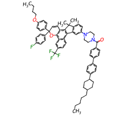 CCCCCC1CCC(c2ccc(-c3ccc(C(=O)N4CCN(c5ccc6c(c5)-c5c(c7c(c8cc(C(F)(F)F)ccc58)OC(c5ccc(F)cc5)(c5ccc(OCCCC)cc5)C=C7)C6(C)C)CC4)cc3)cc2)CC1